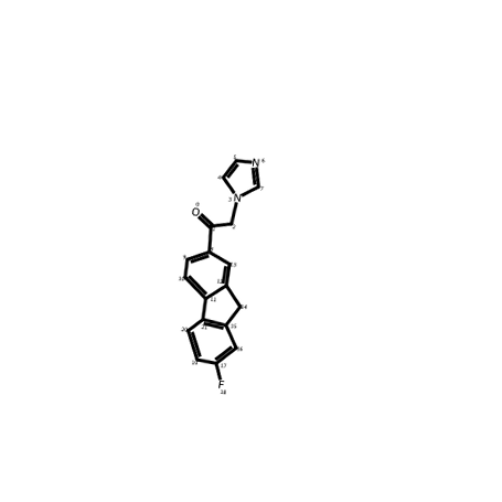 O=C(Cn1ccnc1)c1ccc2c(c1)Cc1cc(F)ccc1-2